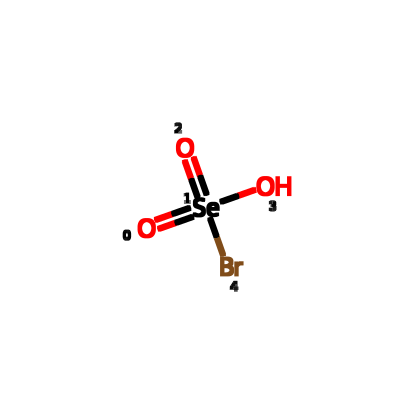 O=[Se](=O)(O)Br